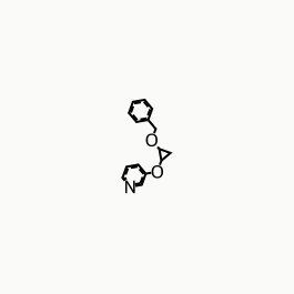 c1ccc(COC2CC2Oc2cccnc2)cc1